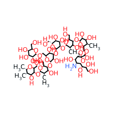 C[C@H]1C(CO[C@]2(C(=O)O)C[C@@H](O)[C@@H](N)C(C(O)C(O)CO)O2)O[C@@H](O[C@H]2C(CO)O[C@@H](OC3C(O)[C@H](O)[C@@H](CO)O[C@@H]3OC3[C@H](O)C(CO[C@H]4OC(CO)[C@@H](O)C(O)[C@H]4O)O[C@@H](O[C@@H]4C(CO)O[C@@H](O[C@@H]5C(CO)O[C@@H](C)[C@@H](C)C5O)[C@@H](C)C4O)[C@@H]3O)[C@@H](C)C2O)[C@@H](O)C1O